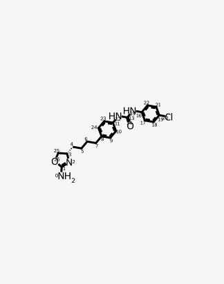 NC1=N[C@@H](CCCCc2ccc(NC(=O)Nc3ccc(Cl)cc3)cc2)CO1